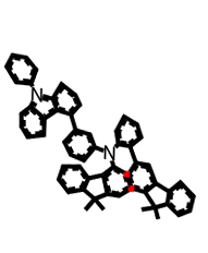 CC1(C)c2ccccc2-c2cc(-c3ccccc3N(c3cccc(-c4cccc5c4c4ccccc4n5-c4ccccc4)c3)c3cccc4c3-c3ccccc3C4(C)C)ccc21